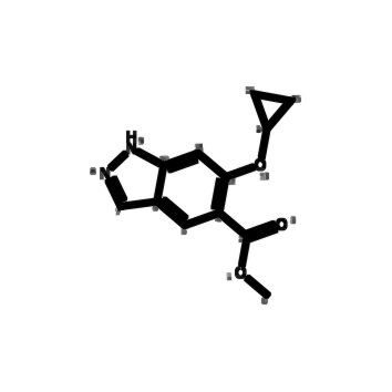 COC(=O)c1cc2cn[nH]c2cc1OC1CC1